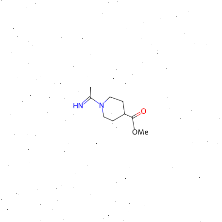 COC(=O)C1CCN(C(C)=N)CC1